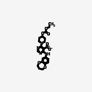 CCOC(=O)OC1CCN(c2ncnc(Nc3ccc4c(c3)OCCCO4)c2[N+](=O)[O-])CC1